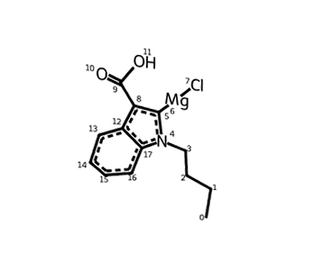 CCCCn1[c]([Mg][Cl])c(C(=O)O)c2ccccc21